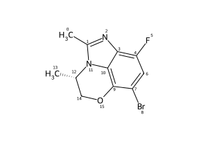 Cc1nc2c(F)cc(Br)c3c2n1[C@@H](C)CO3